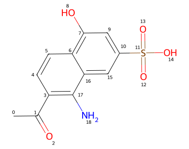 CC(=O)c1ccc2c(O)cc(S(=O)(=O)O)cc2c1N